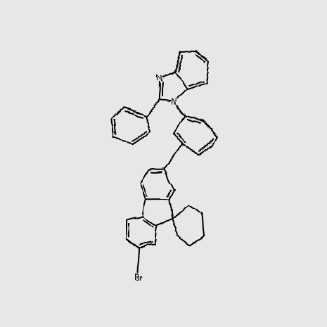 Brc1ccc2c(c1)C1(CCCCC1)c1cc(-c3cccc(-n4c(-c5ccccc5)nc5ccccc54)c3)ccc1-2